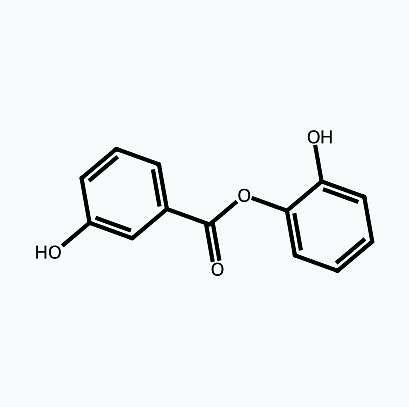 O=C(Oc1ccccc1O)c1cccc(O)c1